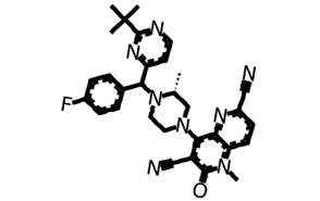 C[C@@H]1CN(c2c(C#N)c(=O)n(C)c3ccc(C#N)nc23)CCN1C(c1ccc(F)cc1)c1ccnc(C(C)(C)C)n1